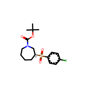 CC(C)(C)OC(=O)N1CCCC[C@H](S(=O)(=O)c2ccc(F)cc2)C1